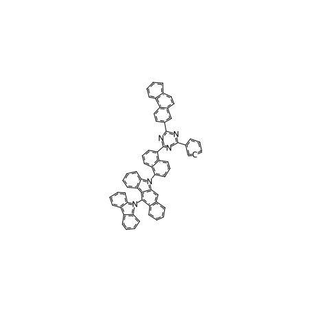 c1ccc(-c2nc(-c3ccc4c(ccc5ccccc54)c3)nc(-c3cccc4c(-n5c6ccccc6c6c(-n7c8ccccc8c8ccccc87)c7ccccc7cc65)cccc34)n2)cc1